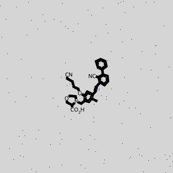 Cc1cc(CN2CCOCC2C(=O)O)c(OCCCCC#N)cc1/C=C/c1cccc(-c2ccccc2)c1C#N